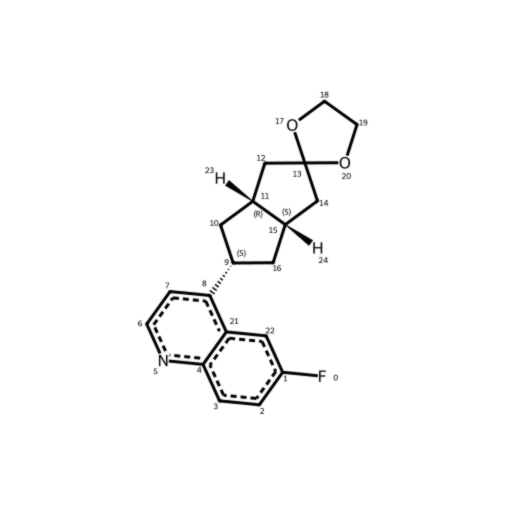 Fc1ccc2nccc([C@@H]3C[C@@H]4CC5(C[C@@H]4C3)OCCO5)c2c1